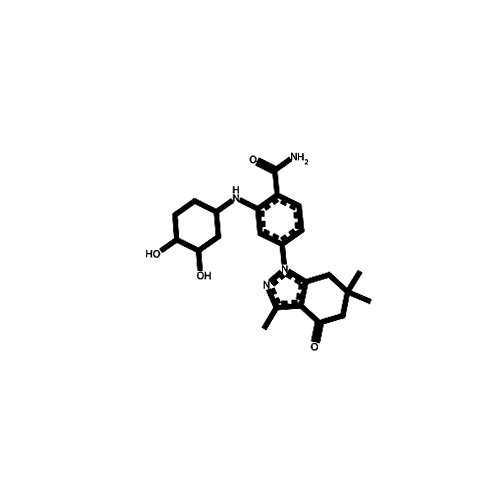 Cc1nn(-c2ccc(C(N)=O)c(NC3CCC(O)C(O)C3)c2)c2c1C(=O)CC(C)(C)C2